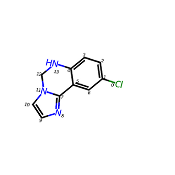 Clc1ccc2c(c1)-c1nccn1CN2